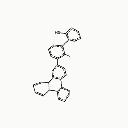 Cc1c(-c2ccc3c(c2)C2C=CC=CC2c2ccccc2-3)cccc1-c1ccccc1S